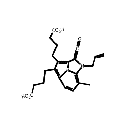 C=CCn1c(=C=O)c2c(CCCC(=O)O)c(CCCC(=O)O)c3ccc(C)c1n32